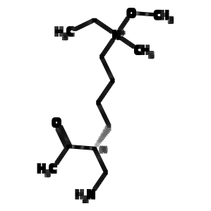 CC[N+](C)(CCCC[C@H](CN)C(C)=O)OC